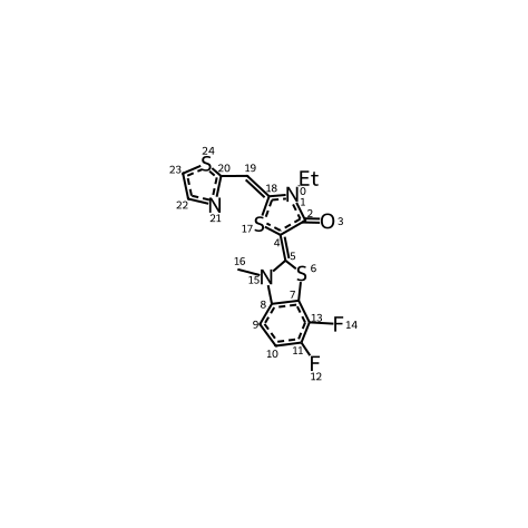 CCn1c(=O)/c(=C2\Sc3c(ccc(F)c3F)N2C)s/c1=C\c1nccs1